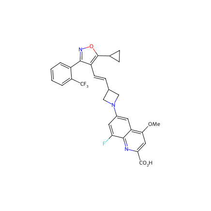 COc1cc(C(=O)O)nc2c(F)cc(N3CC(/C=C/c4c(-c5ccccc5C(F)(F)F)noc4C4CC4)C3)cc12